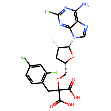 Nc1nc(Cl)nc2c1ncn2[C@@H]1O[C@H](COC(Cc2ccc(Cl)cc2F)(C(=O)O)C(=O)O)C[C@@H]1F